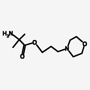 CC(C)(N)C(=O)OCCCN1CCOCC1